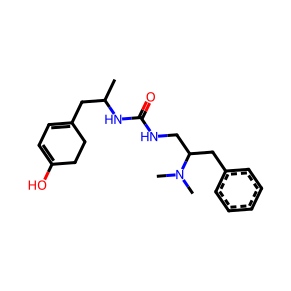 CC(CC1=CC=C(O)CC1)NC(=O)NCC(Cc1ccccc1)N(C)C